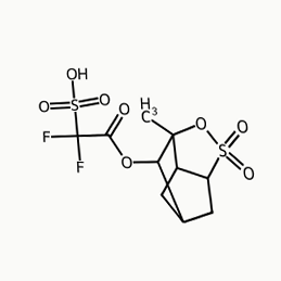 CC12OS(=O)(=O)C3CC(CC31)C2OC(=O)C(F)(F)S(=O)(=O)O